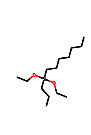 CCCCCCC[Si](CCC)(OCC)OCC